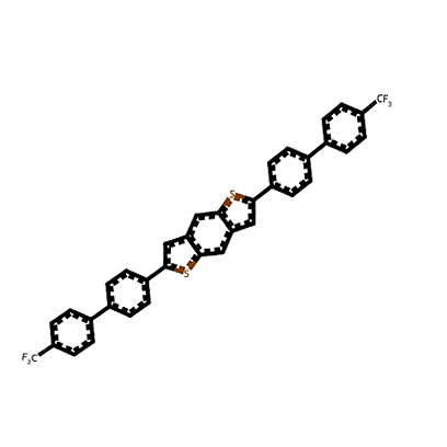 FC(F)(F)c1ccc(-c2ccc(-c3cc4cc5sc(-c6ccc(-c7ccc(C(F)(F)F)cc7)cc6)cc5cc4s3)cc2)cc1